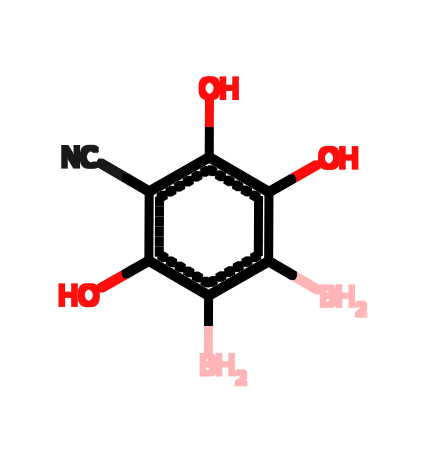 Bc1c(B)c(O)c(C#N)c(O)c1O